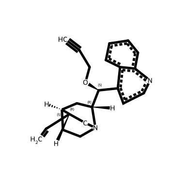 C#CCO[C@@H](c1ccnc2ccccc12)[C@H]1C[C@@H]2CCN1C[C@@H]2C=C